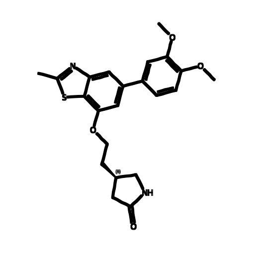 COc1ccc(-c2cc(OCC[C@H]3CNC(=O)C3)c3sc(C)nc3c2)cc1OC